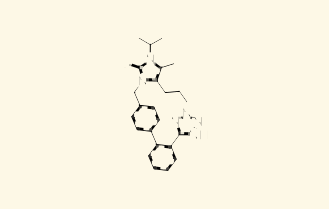 CCCc1c(C)n(C(C)C)c(=O)n1Cc1ccc(-c2ccccc2-c2nnn[nH]2)cc1